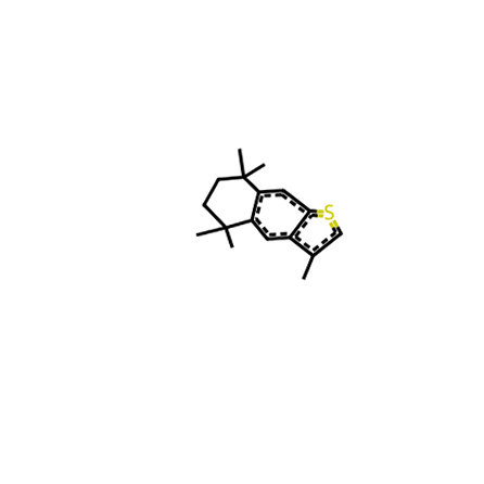 Cc1csc2cc3c(cc12)C(C)(C)CCC3(C)C